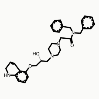 O=C(CN1CCN(C[C@@H](O)COc2cccc3c2C=CCN3)CC1)N(Cc1ccccc1)Cc1ccccc1